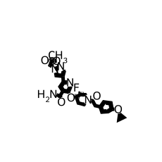 CS(=O)(=O)Cn1cc(-c2cc(C(N)=O)c(O[C@@H]3CCN(C(=O)Cc4ccc(OC5CC5)cc4)C[C@@H]3F)cn2)cn1